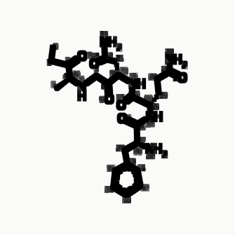 CCC(=O)[C@H](C)NCC(=O)[C@H](CC(N)=O)NC(=O)[C@H](CCC(N)=O)NC(=O)[C@@H](N)Cc1ccccc1